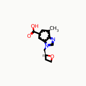 Cc1cc(C(=O)O)cc2c1ncn2C[C@@H]1CCO1